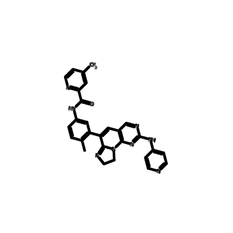 Cc1ccc(NC(=O)c2cc(C(F)(F)F)ccn2)cc1C1=Cc2cnc(Nc3ccncc3)nc2N2CCN=C12